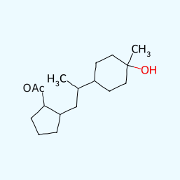 CC(=O)OC1CCCC1CC(C)C1CCC(C)(O)CC1